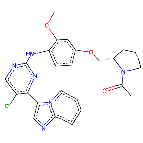 COc1cc(OC[C@@H]2CCCN2C(C)=O)ccc1Nc1ncc(Cl)c(-c2cnc3ccccn23)n1